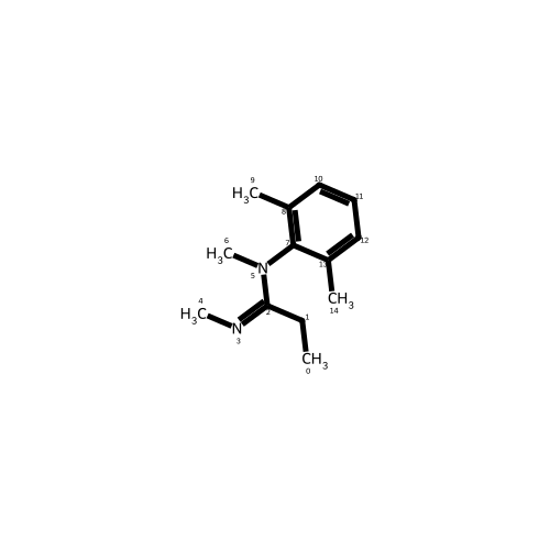 CC/C(=N/C)N(C)c1c(C)cccc1C